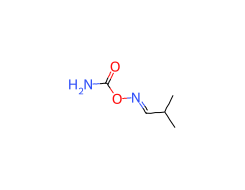 CC(C)C=NOC(N)=O